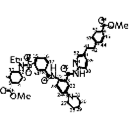 CCN([C@H]1CC[C@H](C(=O)OC)CC1)S(=O)(=O)c1cccc(C(=O)Nc2ccc(N3CCCCC3)cc2C(=O)Nc2ccc(CCc3ccc(C(=O)OC)cc3)cn2)c1